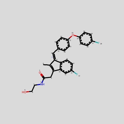 CC1=C(CC(=O)NCCO)c2cc(F)ccc2/C1=C\c1ccc(Oc2ccc(F)cc2)cc1